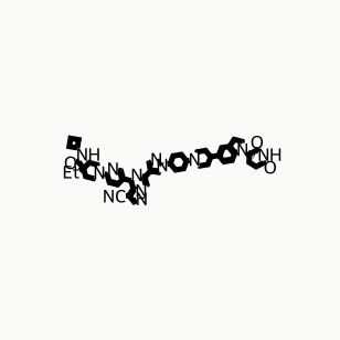 CCC1(C(=O)NC2CCC2)CCN(c2ccc(-c3nc(-c4cnn(C5CCC(N6CCC(c7ccc8c(c7)CCN8[C@H]7CCC(=O)NC7=O)CC6)CC5)c4)cn4ncc(C#N)c34)cn2)CC1